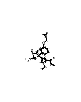 CCC(=O)c1cc(C2(c3cccc(OCC4CC4)c3)N=C(N)N(C)C2=O)cn1CC